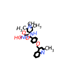 Cc1cc(COc2ccc(C(=O)N[C@@]3(CC(=O)NO)C[C@@H](C)N(C)[C@@H](C)C3)cc2)c2ccccc2n1